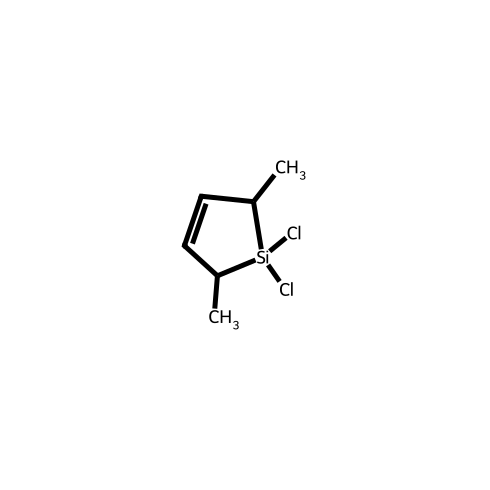 CC1C=CC(C)[Si]1(Cl)Cl